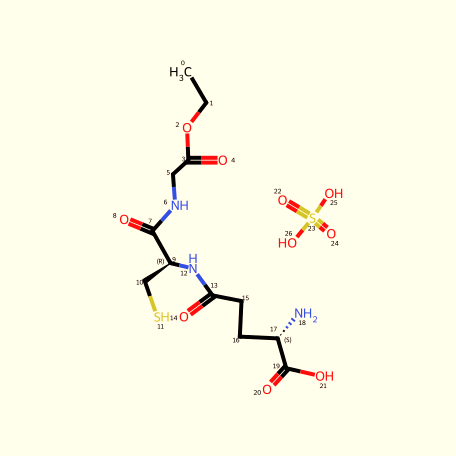 CCOC(=O)CNC(=O)[C@H](CS)NC(=O)CC[C@H](N)C(=O)O.O=S(=O)(O)O